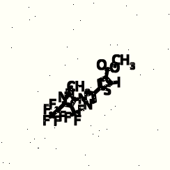 COC(=O)c1cc(-c2cnn(-c3c(C(F)(F)F)c(C(F)(F)C(F)(F)F)nn3C)c2)sc1I